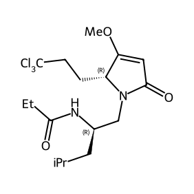 CCC(=O)N[C@H](CC(C)C)CN1C(=O)C=C(OC)[C@H]1CCC(Cl)(Cl)Cl